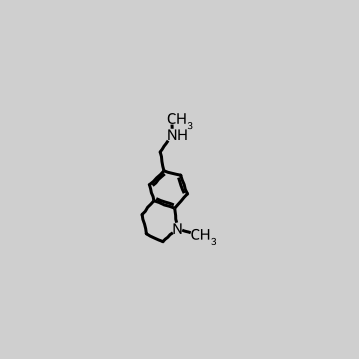 CNCc1ccc2c(c1)CCCN2C